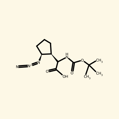 CC(C)(C)OC(=O)NC(C(=O)O)[C@@H]1CCC[C@@H]1N=[N+]=[N-]